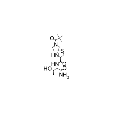 C[C@@H](O)[C@H](NC(=O)[C@@H]1CSC2(CCN(C(=O)C(C)(C)C)C2)N1)C(N)=O